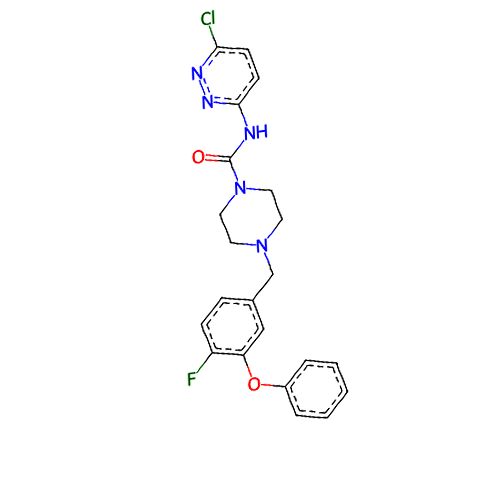 O=C(Nc1ccc(Cl)nn1)N1CCN(Cc2ccc(F)c(Oc3ccccc3)c2)CC1